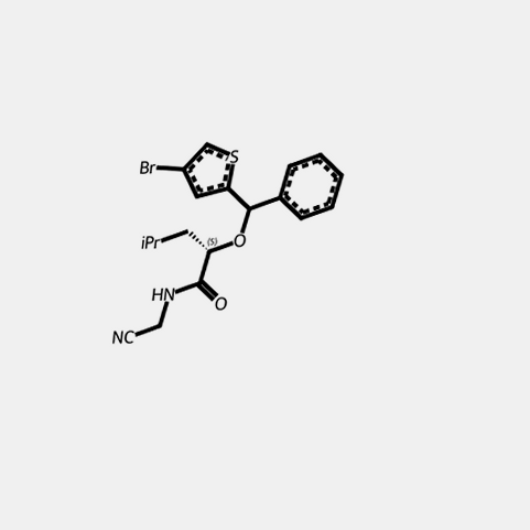 CC(C)C[C@H](OC(c1ccccc1)c1cc(Br)cs1)C(=O)NCC#N